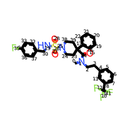 CN(CCc1cccc(C(F)(F)F)c1)C(=O)C1(c2ccccc2)CCN(S(=O)(=O)NCc2ccc(F)cc2)CC1